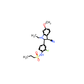 CCCS(=O)(=O)Nc1ccc(C2C(C#N)c3ccc(OC)cc3N2CC)cc1F